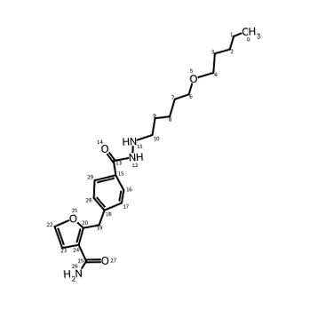 CCCCCOCCCCCNNC(=O)c1ccc(Cc2occc2C(N)=O)cc1